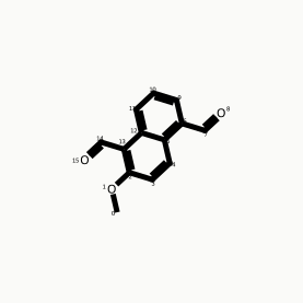 COc1ccc2c(C=O)cccc2c1C=O